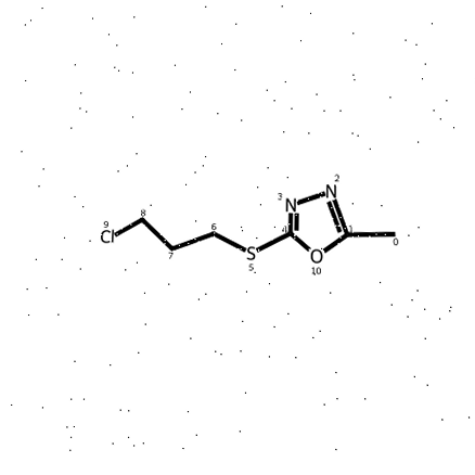 Cc1nnc(SCCCCl)o1